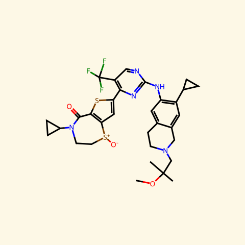 COC(C)(C)CN1CCc2cc(Nc3ncc(C(F)(F)F)c(-c4cc5c(s4)C(=O)N(C4CC4)CC[S+]5[O-])n3)c(C3CC3)cc2C1